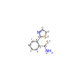 NC(=S)c1ccccc1-c1nccs1